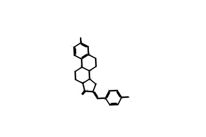 CC(C)c1ccc(/C=C2\CC3C4CCc5cc(O)ccc5C4CC[C@]3(C)C2=O)cc1